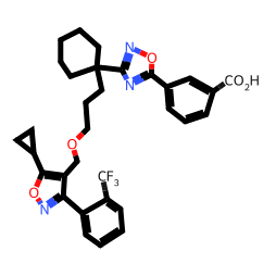 O=C(O)c1cccc(-c2nc(C3(CCCOCc4c(-c5ccccc5C(F)(F)F)noc4C4CC4)CCCCC3)no2)c1